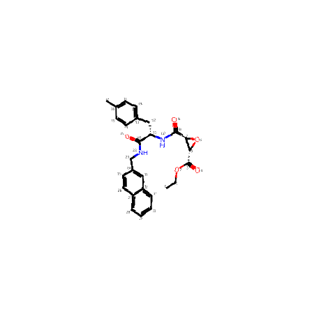 CCOC(=O)[C@H]1O[C@@H]1C(=O)N[C@@H](Cc1ccc(C)cc1)C(=O)NCc1ccc2ccccc2c1